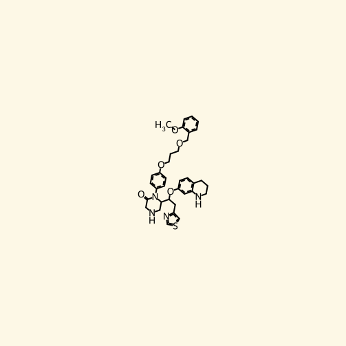 COc1ccccc1COCCCOc1ccc(N2C(=O)CNCC2C(Cc2cscn2)Oc2ccc3c(c2)NCCC3)cc1